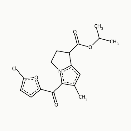 Cc1cc2n(c1C(=O)c1ccc(Cl)o1)CCC2C(=O)OC(C)C